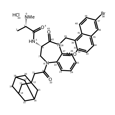 CN[C@@H](C)C(=O)N[C@H]1CN(C(=O)CC23CC4CC(CC(C4)C2)C3)c2ccccc2N(Cc2c(OC)ccc3cc(Br)ccc23)C1=O.Cl